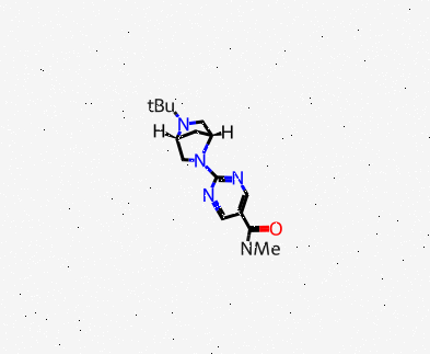 CNC(=O)c1cnc(N2C[C@H]3C[C@@H]2CN3C(C)(C)C)nc1